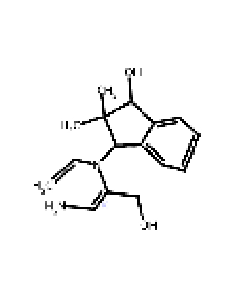 C=CN(/C(=C\N)CO)C1c2ccccc2C(O)C1(C)C